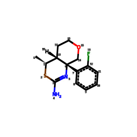 C[C@H]1SC(N)=N[C@@]2(c3ccccc3F)COCC[C@@H]12